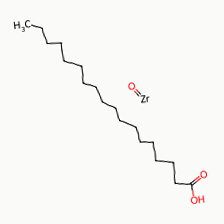 CCCCCCCCCCCCCCCCCC(=O)O.[O]=[Zr]